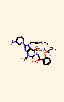 CC#CCn1c(N2CCCC(N)C2)nc2c1c(=O)n(CC(=O)c1ccccc1OC(C)(C)C(=O)OCC)c(=O)n2C